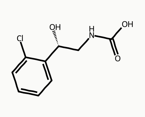 O=C(O)NC[C@@H](O)c1ccccc1Cl